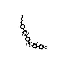 CCCCCC1CCC(C2COC(C3CCC(C(F)(F)Oc4ccc(-c5ccc(Cl)cc5)c(F)c4)CC3)OC2)CC1